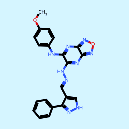 COc1ccc(Nc2nc3nonc3nc2NN=Cc2c[nH]nc2-c2ccccc2)cc1